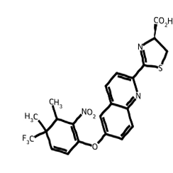 CC1C([N+](=O)[O-])=C(Oc2ccc3nc(C4=N[C@@H](C(=O)O)CS4)ccc3c2)C=CC1(C)C(F)(F)F